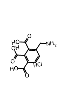 Cl.NCc1ccc(C(=O)O)c(C(=O)O)c1C(=O)O